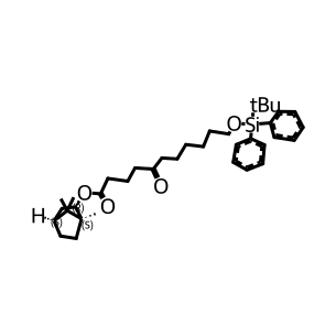 CC1(C)[C@H]2CC[C@]1(C)[C@H](OC(=O)CCCC(=O)CCCCCCO[Si](c1ccccc1)(c1ccccc1)C(C)(C)C)C2